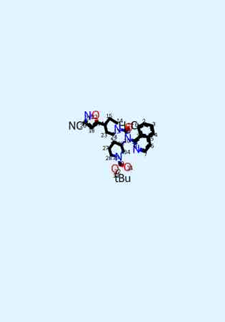 Cc1cccc2ccnc(N(C(=O)N3CCC(c4cc(C#N)no4)CC3)[C@@H]3CCCN(C(=O)OC(C)(C)C)C3)c12